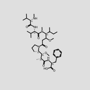 CCC(C)[C@@H](C(CC(=O)N1CCC[C@H]1[C@H](OC)[C@@H](C)C(=O)N[C@@H](Cc1ccccc1)C(=O)O)OC)N(C)C(=O)[C@@H](NC(=O)[C@@H](NC)C(C)C)C(C)C